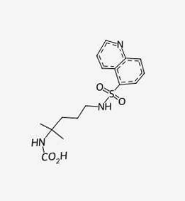 CC(C)(CCCNS(=O)(=O)c1cccc2ncccc12)NC(=O)O